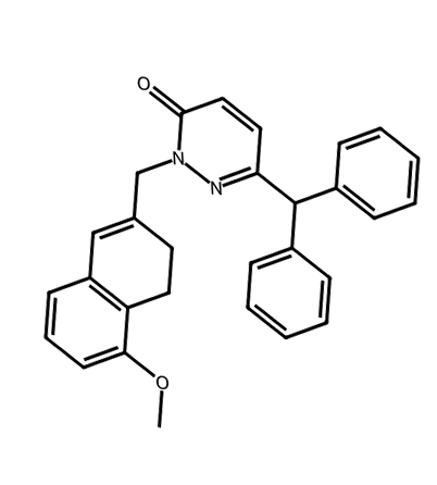 COc1cccc2c1CCC(Cn1nc(C(c3ccccc3)c3ccccc3)ccc1=O)=C2